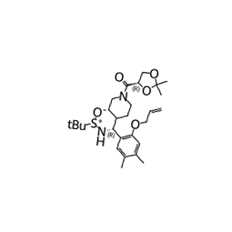 C=CCOc1cc(C)c(C)cc1[C@H](N[S+]([O-])C(C)(C)C)C1CCN(C(=O)[C@H]2COC(C)(C)O2)CC1